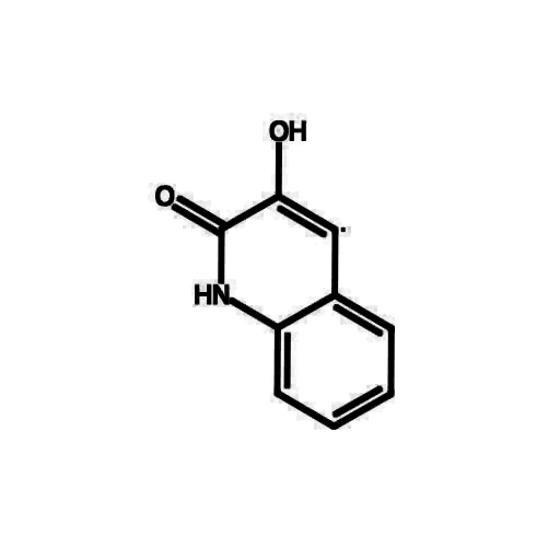 O=c1[nH]c2ccccc2[c]c1O